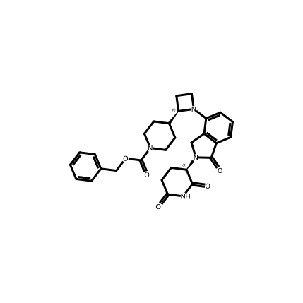 O=C1CC[C@@H](N2Cc3c(cccc3N3CC[C@@H]3C3CCN(C(=O)OCc4ccccc4)CC3)C2=O)C(=O)N1